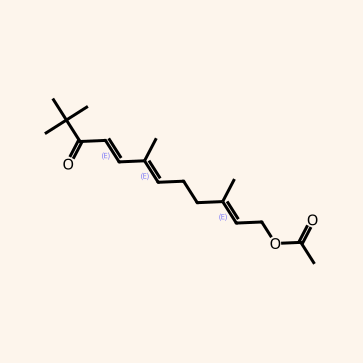 CC(=O)OC/C=C(\C)CC/C=C(C)/C=C/C(=O)C(C)(C)C